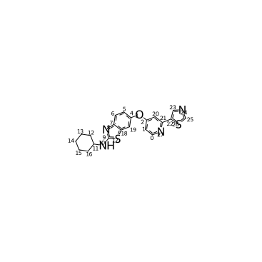 c1cc(Oc2ccc3nc(NC4CCCCC4)sc3c2)cc(-c2cncs2)n1